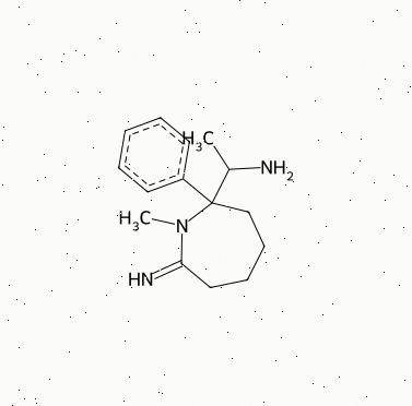 CC(N)C1(c2ccccc2)CCCCC(=N)N1C